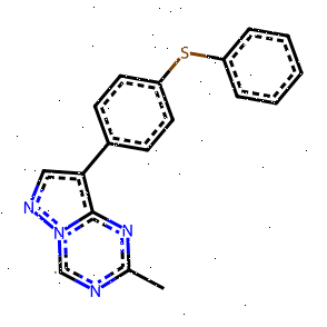 Cc1n[c]n2ncc(-c3ccc(Sc4ccccc4)cc3)c2n1